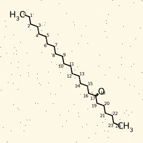 CCCCCCCCCCCCCCCCCC(=O)CCCCCC